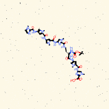 Cn1cc(NC(=O)c2nccn2C)cc1C(=O)Nc1cc(C(=O)Nc2cn(C)c(C(=O)NCC[C@H](NC(=O)OC(C)(C)C)C(=O)Nc3cc(C(=O)Nc4cn(C)c(C(=O)O)n4)n(C)c3)n2)n(C)c1